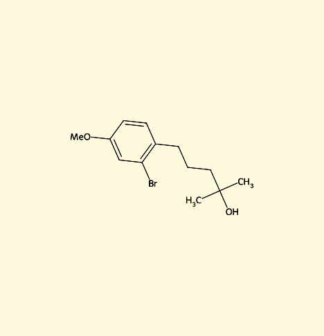 COc1ccc(CCCC(C)(C)O)c(Br)c1